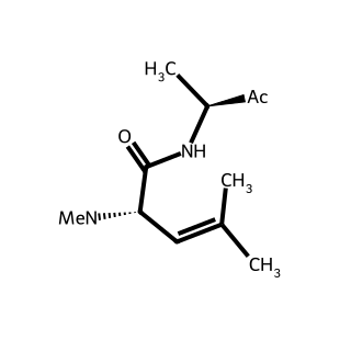 CN[C@@H](C=C(C)C)C(=O)N[C@@H](C)C(C)=O